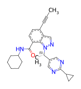 CC#Cc1ccc(C(=O)NC2CCCCC2)c2c1cnn2[C@@H](C)c1cnc(C2CC2)nc1